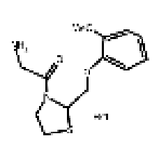 COc1ccccc1OCC1SCCN1C(=O)CN.Cl